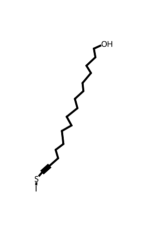 OCCCCCCCCCCCCCCC#CSI